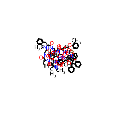 CCSSc1cccc(C)c1OC(=O)C[C@H](NC(=O)[C@H](Cc1ccccc1)NC(=O)[C@H](C(C)C)N(C)C(=O)[C@H](CC(C)C)N(C)C(=O)CNC(=O)[C@H](Cc1ccccc1)N(C)C(=O)CNC(=O)[C@H](CC(C)C)N(C)C(=O)[C@@H](NC(=O)[C@H](C)N(C)C(=O)OC(C)(C)C[C@@H](C)OC(c1ccccc1)(c1ccccc1)c1ccccc1)C(C)C)C(=O)N(C)[C@@H](Cc1ccccc1)C(=O)N[C@@H](C)C(=O)N1CCCCC1